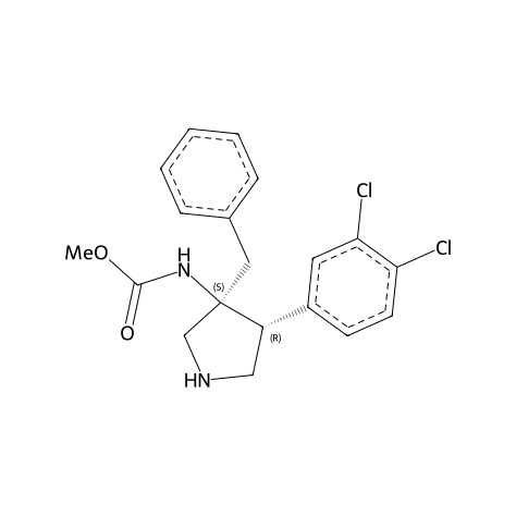 COC(=O)N[C@]1(Cc2ccccc2)CNC[C@H]1c1ccc(Cl)c(Cl)c1